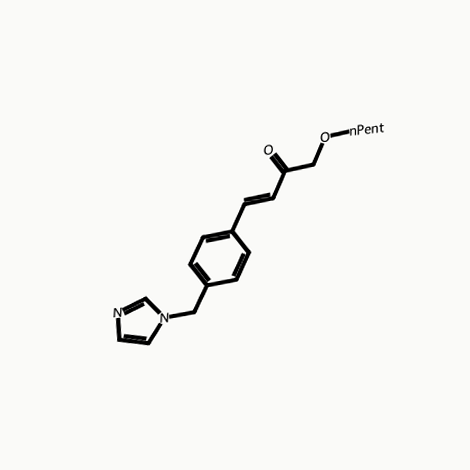 CCCCCOCC(=O)/C=C/c1ccc(Cn2ccnc2)cc1